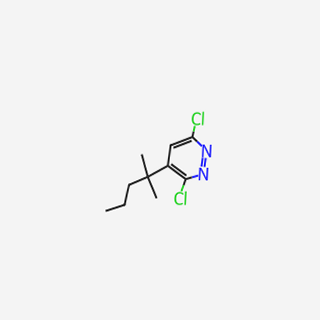 CCCC(C)(C)c1cc(Cl)nnc1Cl